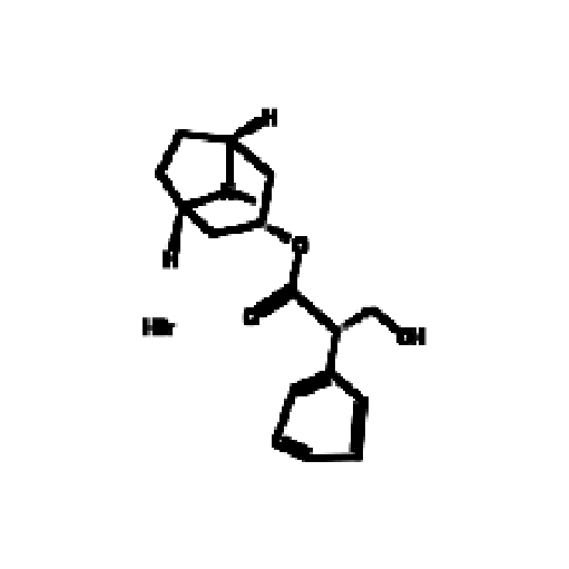 Br.CN1[C@@H]2CC[C@H]1C[C@@H](OC(=O)[C@H](CO)c1ccccc1)C2